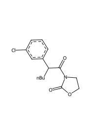 CCCCC(C(=O)N1CCOC1=O)c1cccc(Cl)c1